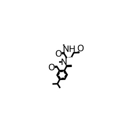 C=C(c1ccc(C(C)C)cc1C=O)N(C)[C@@H](CCC=O)C(=O)NC